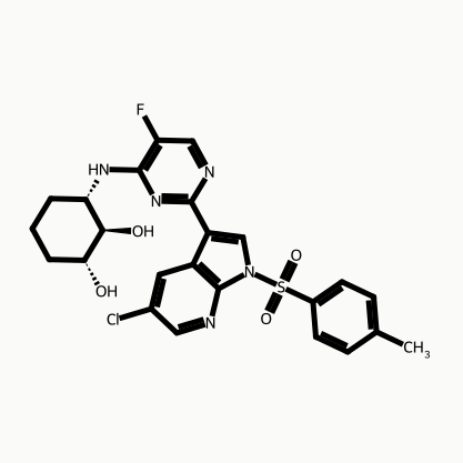 Cc1ccc(S(=O)(=O)n2cc(-c3ncc(F)c(N[C@H]4CCC[C@@H](O)[C@@H]4O)n3)c3cc(Cl)cnc32)cc1